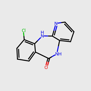 O=C1Nc2cccnc2Nc2c(Cl)cccc21